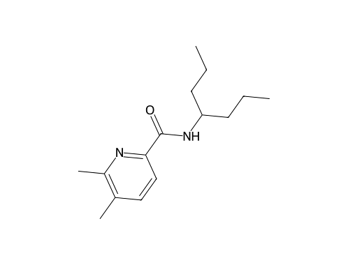 CCCC(CCC)NC(=O)c1ccc(C)c(C)n1